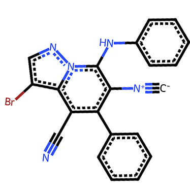 [C-]#[N+]c1c(-c2ccccc2)c(C#N)c2c(Br)cnn2c1Nc1ccccc1